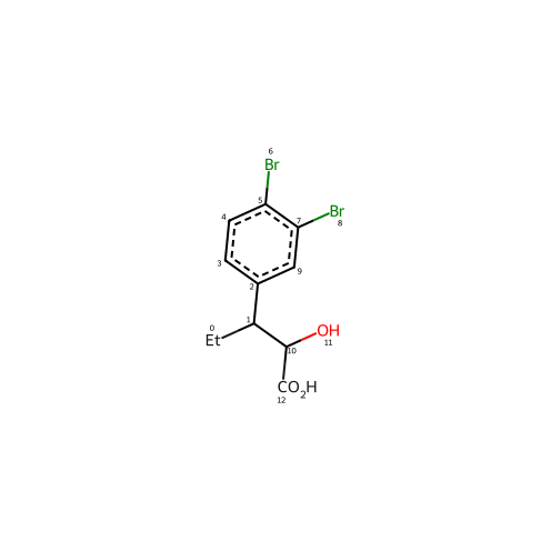 CCC(c1ccc(Br)c(Br)c1)C(O)C(=O)O